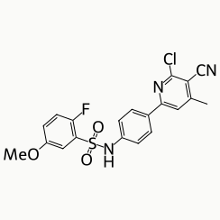 COc1ccc(F)c(S(=O)(=O)Nc2ccc(-c3cc(C)c(C#N)c(Cl)n3)cc2)c1